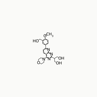 COc1ccc(-c2ccc3c(N4CCOCC4)nc(C(CO)CO)nc3n2)cc1CO